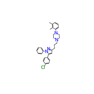 Cc1cccc(N2CCN(CCCc3cc(-c4ccc(Cl)cc4)n(-c4ccccc4)n3)CC2)c1C